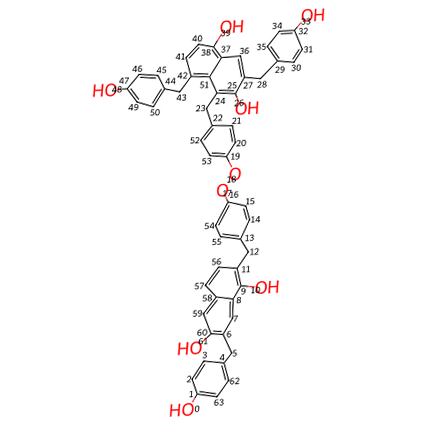 Oc1ccc(Cc2cc3c(O)c(Cc4ccc(OOc5ccc(Cc6c(O)c(Cc7ccc(O)cc7)cc7c(O)ccc(Cc8ccc(O)cc8)c67)cc5)cc4)ccc3cc2O)cc1